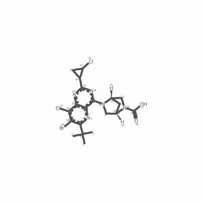 CC(C)(C)c1nc2c(N3C[C@@H]4C[C@H]3CN4C(=O)O)nc(C3CC3Cl)nc2c(Cl)c1Br